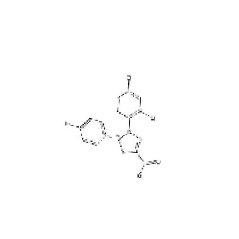 O=C(O)C1=NN(c2ccc(Cl)cc2Cl)[C@@H](c2ccc(F)cc2)C1